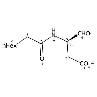 CCCCCCCC(=O)N[C@@H]([C]=O)CC(=O)O